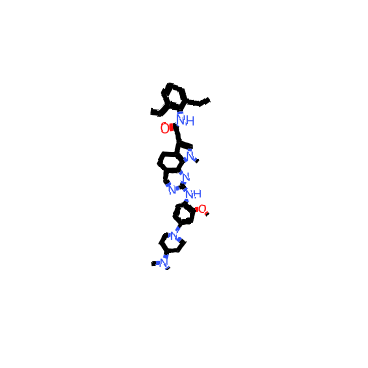 CCc1cccc(CC)c1NC(=O)c1cn(C)c2c1CCc1cnc(Nc3ccc(N4CCC(N(C)C)CC4)cc3OC)nc1-2